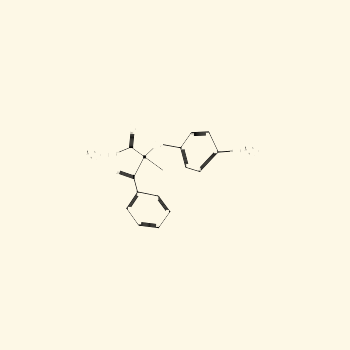 COC(=S)C(C)(Sc1ccc(OC)cc1)C(=O)c1ccccc1